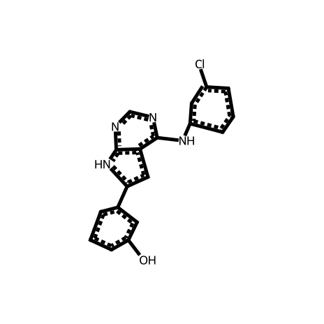 Oc1cccc(-c2cc3c(Nc4cccc(Cl)c4)ncnc3[nH]2)c1